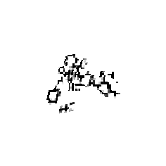 Cl.Nc1cc(F)ccc1N1CCC(NC(=O)C2(NC(=O)OCc3ccccc3)CCCCC2)C(O)C1